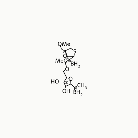 B[C@H](C)C1OC(COC[C@@]2(B)O[C@@]3(COC)CSC2C3OC)[C@@H](O)C1O